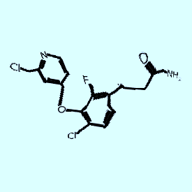 NC(=O)C[CH]c1ccc(Cl)c(Oc2ccnc(Cl)c2)c1F